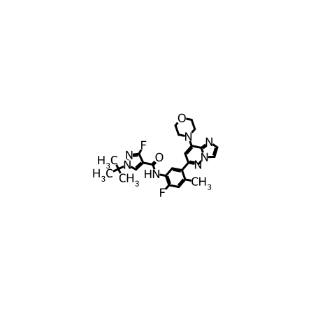 Cc1cc(F)c(NC(=O)c2cn(C(C)(C)C)nc2F)cc1-c1cc(N2CCOCC2)c2nccn2n1